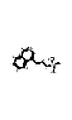 C[Si](Cl)(Cl)CCCc1cncc2ccccc12